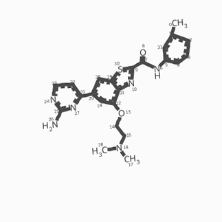 Cc1cccc(NC(=O)c2nc3c(OCCN(C)C)cc(-c4ccnc(N)n4)cc3s2)c1